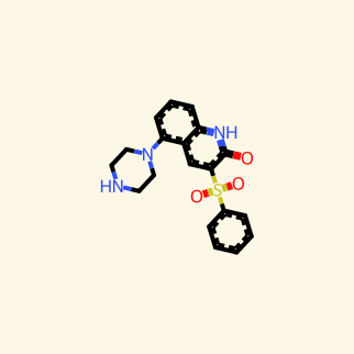 O=c1[nH]c2cccc(N3CCNCC3)c2cc1S(=O)(=O)c1ccccc1